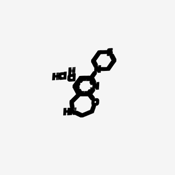 Cl.Cl.c1cc2c(nc1N1CCSCC1)OCCNC2